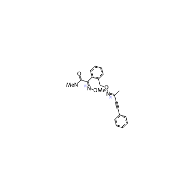 CNC(=O)/C(=N/OC)c1ccccc1CO/N=C(\C)C#Cc1ccccc1